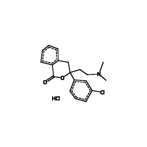 CN(C)CCC1(c2cccc(Cl)c2)Cc2ccccc2C(=O)O1.Cl